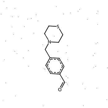 O=[C]c1ccc(CN2CCSCC2)cc1